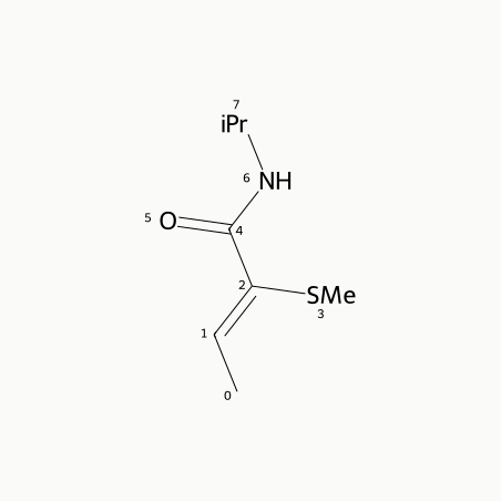 C/C=C(\SC)C(=O)NC(C)C